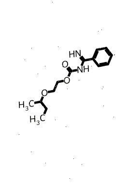 CCC(C)OCCOC(=O)NC(=N)c1cc[c]cc1